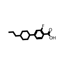 CCCC1CCC(c2ccc(C(=O)O)c(F)c2)CC1